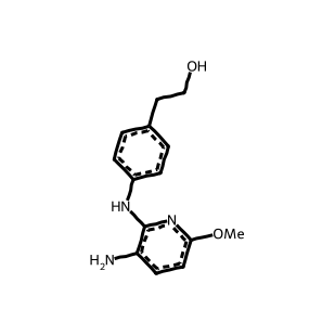 COc1ccc(N)c(Nc2ccc(CCO)cc2)n1